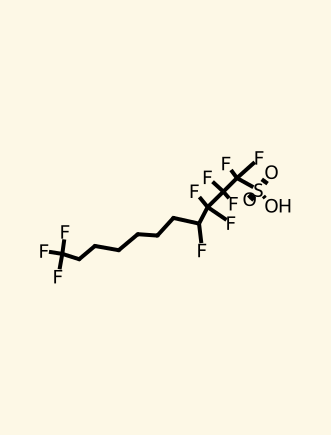 O=S(=O)(O)C(F)(F)C(F)(F)C(F)(F)C(F)CCCCCCC(F)(F)F